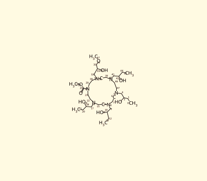 CCC(O)CN1CCN(CC(O)CC)CCN(CC(O)CC)CCN(C(=O)OC)CCN(CC(O)COC)CCN(CC(O)CC)CC1